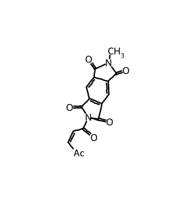 CC(=O)/C=C\C(=O)n1c(=O)c2cc3c(=O)n(C)c(=O)c3cc2c1=O